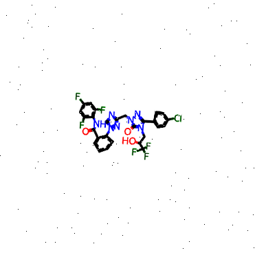 O=C(Nc1c(F)cc(F)cc1F)c1ccccc1-n1cnc(Cn2nc(-c3ccc(Cl)cc3)n(CC(O)C(F)(F)F)c2=O)n1